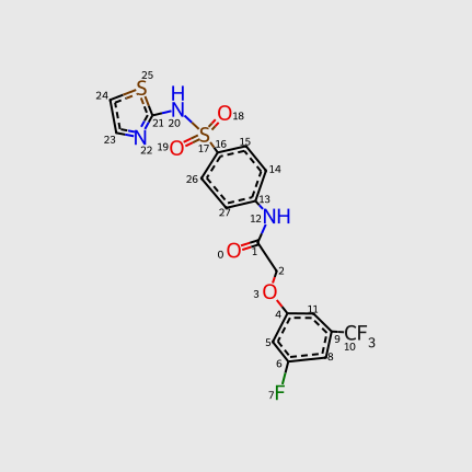 O=C(COc1cc(F)cc(C(F)(F)F)c1)Nc1ccc(S(=O)(=O)Nc2nccs2)cc1